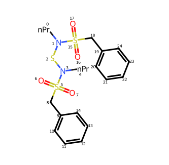 CCCN(SN(CCC)S(=O)(=O)Cc1ccccc1)S(=O)(=O)Cc1ccccc1